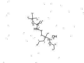 CCCC(C)(CCNC(=O)OC(C)(C)C)[C@H](O)OCC